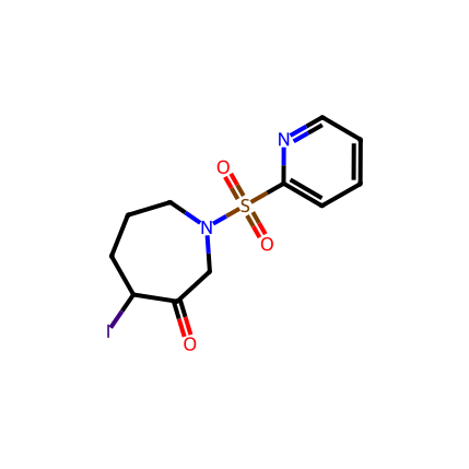 O=C1CN(S(=O)(=O)c2ccccn2)CCCC1I